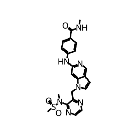 CNC(=O)c1ccc(Nc2cc3c(ccn3Cc3nccnc3N(C)S(C)(=O)=O)cn2)cc1